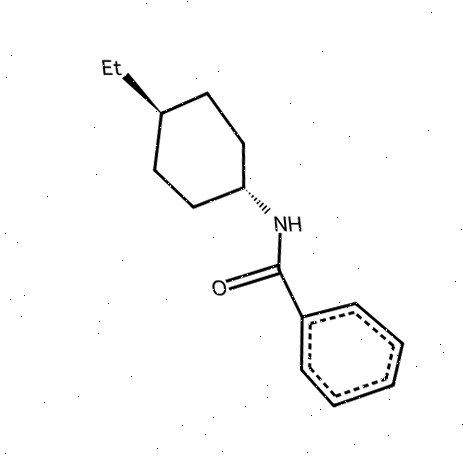 CC[C@H]1CC[C@H](NC(=O)c2ccccc2)CC1